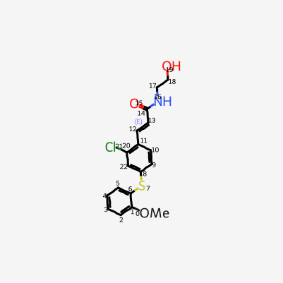 COc1ccccc1Sc1ccc(/C=C/C(=O)NCCO)c(Cl)c1